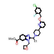 CCC(c1nc2ccc(C(=O)OC)cc2n1C[C@@H]1CCO1)N1CCC(c2cccc(OCc3ccc(Cl)cc3F)n2)CC1